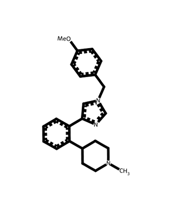 COc1ccc(Cn2cnc(-c3ccccc3C3CCN(C)CC3)c2)cc1